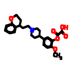 COc1ccc(C2CCN(CCC3CCOc4ccccc43)CC2)cc1OC(=O)C(=O)O